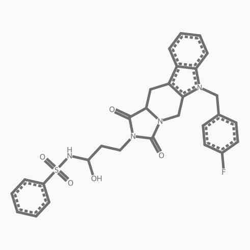 O=C1C2Cc3c(n(Cc4ccc(F)cc4)c4ccccc34)CN2C(=O)N1CCC(O)NS(=O)(=O)c1ccccc1